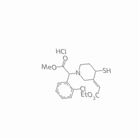 CCOC(=O)C=C1CN(C(C(=O)OC)c2ccccc2Cl)CCC1S.Cl